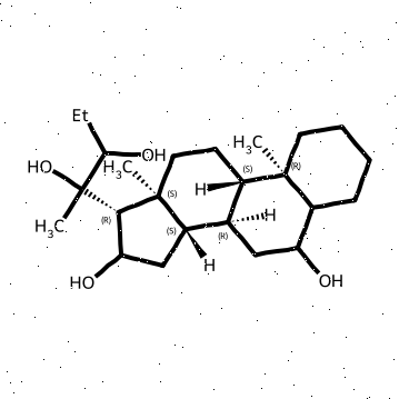 CCC(O)C(C)(O)[C@H]1C(O)C[C@H]2[C@@H]3CC(O)C4CCCC[C@]4(C)[C@H]3CC[C@]12C